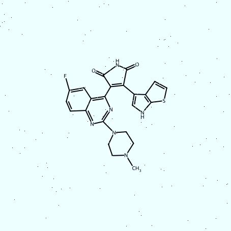 CN1CCN(c2nc(C3=C(c4c[nH]c5sccc45)C(=O)NC3=O)c3cc(F)ccc3n2)CC1